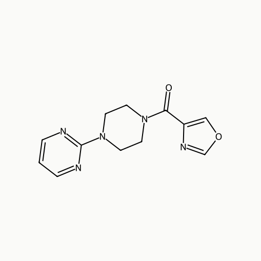 O=C(c1cocn1)N1CCN(c2ncccn2)CC1